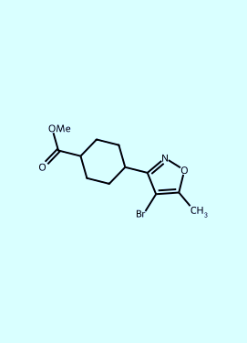 COC(=O)C1CCC(c2noc(C)c2Br)CC1